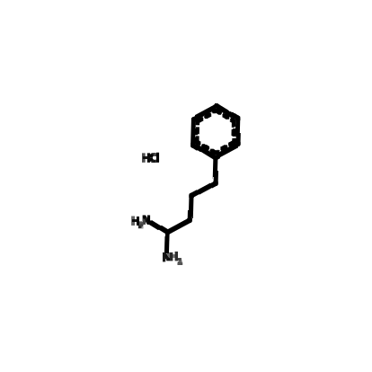 Cl.NC(N)CCCc1ccccc1